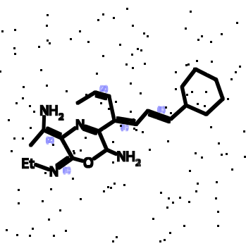 C\C=C/C(=C\C=C\C1CCCCC1)C1=NC(=C(/C)N)/C(=N\CC)OC1N